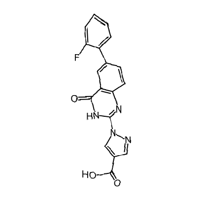 O=C(O)c1cnn(-c2nc3ccc(-c4ccccc4F)cc3c(=O)[nH]2)c1